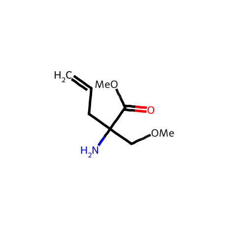 C=CCC(N)(COC)C(=O)OC